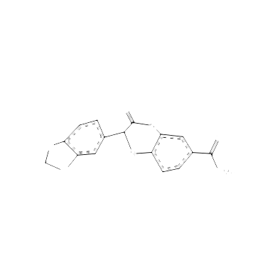 COC(=O)c1ccc2c(c1)NC(=O)C(c1ccc3c(c1)OCO3)N2